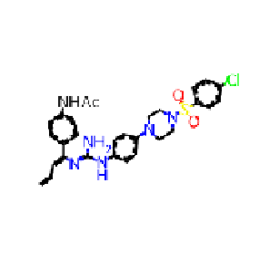 C=C/C=C(\N=C(/N)Nc1ccc(N2CCN(S(=O)(=O)c3ccc(Cl)cc3)CC2)cc1)c1ccc(NC(C)=O)cc1